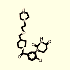 O=C1CCN(c2cc(C(=O)N3CCC(COCCN4CCNCC4)CC3)ccc2Cl)C(=O)N1